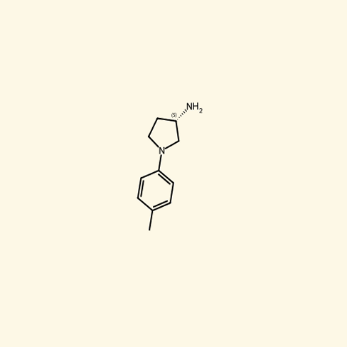 Cc1ccc(N2CC[C@H](N)C2)cc1